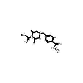 CC1CN(Cc2ccc(C(=O)NO)cc2)CC(C)N1C(=O)C(C)(C)C